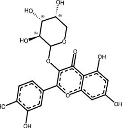 O=c1c(OC2OC[C@@H](O)[C@@H](O)[C@@H]2O)c(-c2ccc(O)c(O)c2)oc2cc(O)cc(O)c12